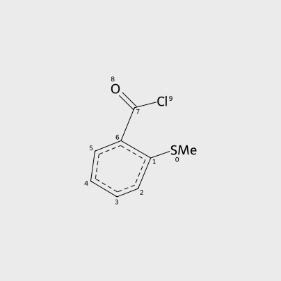 CSc1ccccc1C(=O)Cl